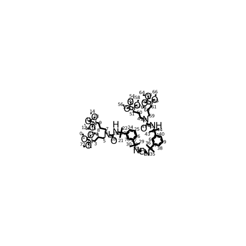 CO[Si](CCCN(CCC[Si](OC)(OC)OC)C(=O)NC(C)(C)c1cccc(C(C)(C)N=C=NC(C)(C)c2cccc(C(C)(C)NC(=O)N(CCC[Si](OC)(OC)OC)CCC[Si](OC)(OC)OC)c2)c1)(OC)OC